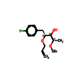 C=CCO[C@H](Cc1ccc(F)cc1)[C@@H](O)[C@H](C)OCCCC